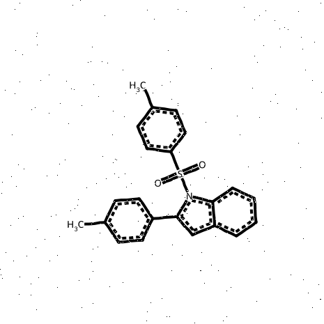 Cc1ccc(-c2cc3ccccc3n2S(=O)(=O)c2ccc(C)cc2)cc1